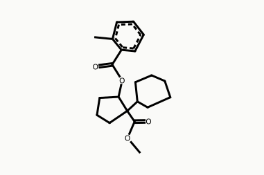 COC(=O)C1(C2CCCCC2)CCCC1OC(=O)c1ccccc1C